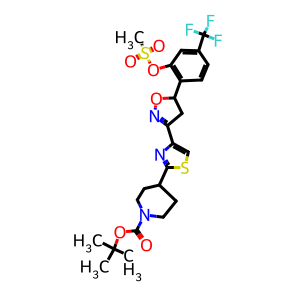 CC(C)(C)OC(=O)N1CCC(c2nc(C3=NOC(c4ccc(C(F)(F)F)cc4OS(C)(=O)=O)C3)cs2)CC1